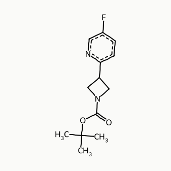 CC(C)(C)OC(=O)N1CC(c2ccc(F)cn2)C1